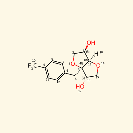 O[C@@H]1CO[C@@]2(Cc3ccc(C(F)(F)F)cc3)[C@@H]1OC[C@@H]2O